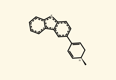 C[C@H]1C=CC(c2ccc3sc4ccccc4c3c2)=CC1